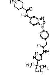 CC(C)(C)c1cc(NC(=O)Cc2ccc(-n3cnc4cc(NC(=O)C5CCNCC5)ccc43)cc2)on1